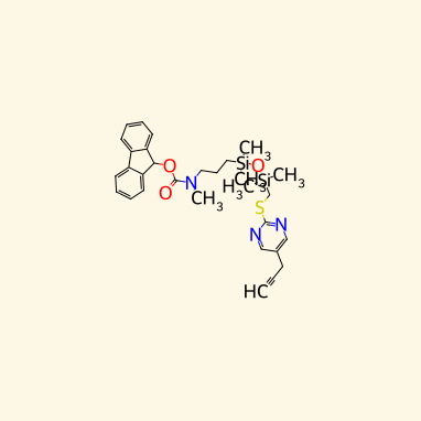 C#CCc1cnc(SC[Si](C)(C)O[Si](C)(C)CCCN(C)C(=O)OC2c3ccccc3-c3ccccc32)nc1